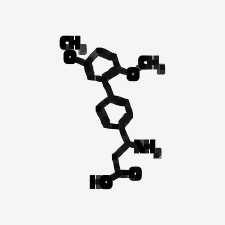 COc1ccc(OC)c(-c2ccc(C(N)CC(=O)O)cc2)c1